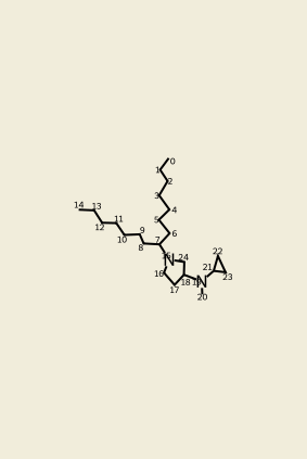 CCCCCCCC(CCCCCCC)N1CCC(N(C)C2CC2)C1